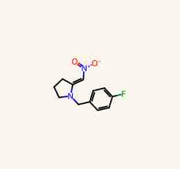 O=[N+]([O-])C=C1CCCN1Cc1ccc(F)cc1